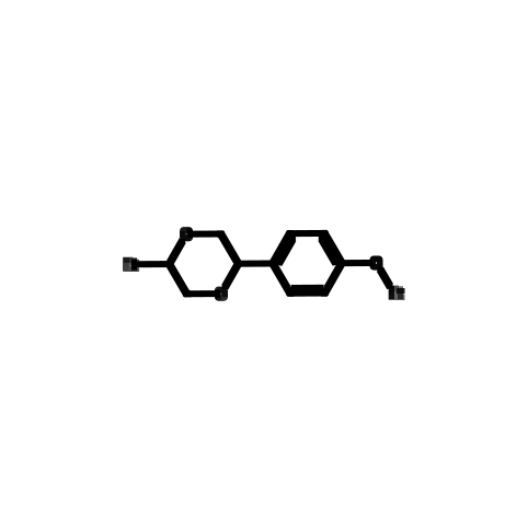 CCOc1ccc(C2COC(CC)CO2)cc1